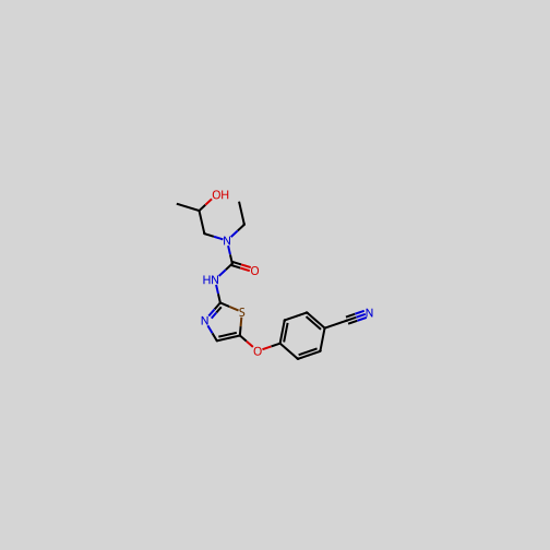 CCN(CC(C)O)C(=O)Nc1ncc(Oc2ccc(C#N)cc2)s1